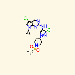 CS(=O)(=O)N1CCC(n2cc(Nc3ncc4c(Cl)cn(C5CC5)c4n3)c(Cl)n2)CC1